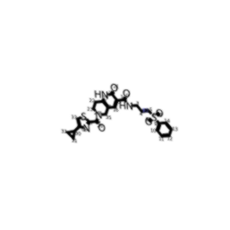 O=C(NC/C=C/S(=O)(=O)c1ccccc1)c1cc2c([nH]c1=O)CCN(C(=O)c1nc(C3CC3)cs1)C2